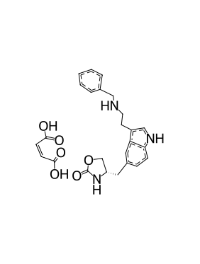 O=C(O)/C=C\C(=O)O.O=C1N[C@@H](Cc2ccc3[nH]cc(CCNCc4ccccc4)c3c2)CO1